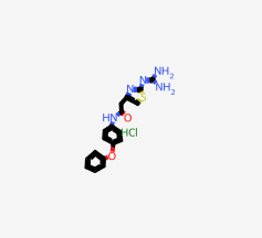 Cl.NC(N)=Nc1nc(CC(=O)Nc2ccc(Oc3ccccc3)cc2)cs1